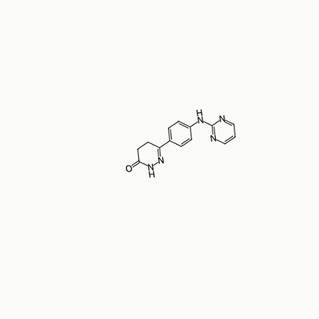 O=C1CCC(c2ccc(Nc3ncccn3)cc2)=NN1